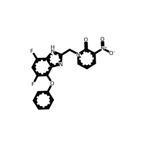 O=c1c([N+](=O)[O-])cccn1Cc1nc2c(Oc3ccccc3)c(F)cc(F)c2[nH]1